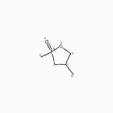 CC1COP(C)(=O)C1